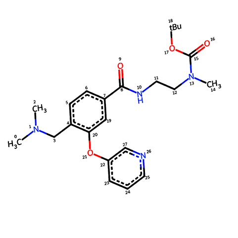 CN(C)Cc1ccc(C(=O)NCCN(C)C(=O)OC(C)(C)C)cc1Oc1cccnc1